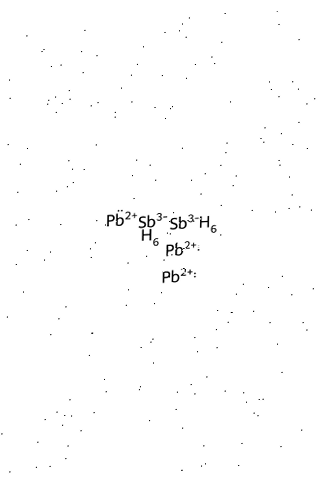 [Pb+2].[Pb+2].[Pb+2].[SbH6-3].[SbH6-3]